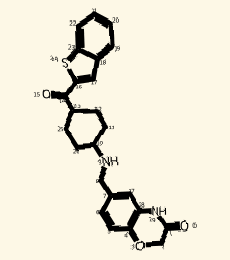 O=C1COc2ccc(CNC3CCC(C(=O)c4cc5ccccc5s4)CC3)cc2N1